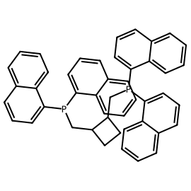 c1ccc2c(P(CC3CCC3CP(c3cccc4ccccc34)c3cccc4ccccc34)c3cccc4ccccc34)cccc2c1